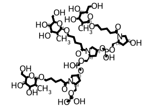 CC1C(O)[C@@H](O)C(CO)O[C@H]1OCCCCC(=O)N1C[C@H](O)C[C@H]1COP(O)O[C@@H]1C[C@@H](COP(O)O[C@@H]2C[C@@H](COP(O)O)N(C(=O)CCCCO[C@@H]3OC(CO)[C@H](O)C(O)C3C)C2)N(C(=O)CCCCO[C@@H]2OC(CO)[C@H](O)C(O)C2C)C1